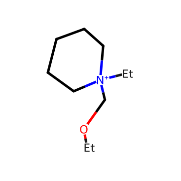 CCOC[N+]1(CC)CCCCC1